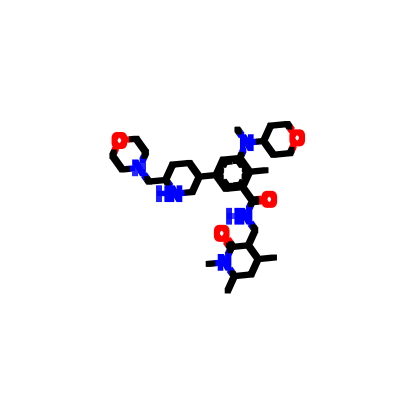 Cc1c(C(=O)NCC2C(=O)N(C)C(C)CC2C)cc(C2CCC(CN3CCOCC3)NC2)cc1N(C)C1CCOCC1